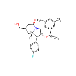 C[C@@H](O[C@H]1CN2C(=O)CC(CO)C[C@H]2C1c1ccc(F)cc1)c1cc(C(F)(F)F)cc(C(F)(F)F)c1